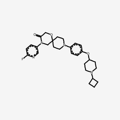 O=C1COC2(CCN(c3ccc(OC4CCN(C5CCC5)CC4)cc3)CC2)CN1c1ccc(F)nc1